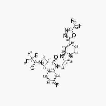 O=C(C1CN(C(=O)C(F)(F)F)C1)N(Cc1cn2ccc(-c3nnc(C(F)F)o3)cc2n1)c1cccc(F)c1